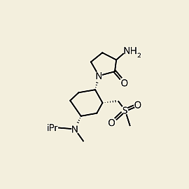 CC(C)N(C)[C@@H]1CC[C@H](N2CCC(N)C2=O)[C@H](CS(C)(=O)=O)C1